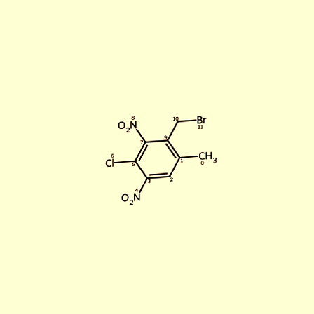 Cc1cc([N+](=O)[O-])c(Cl)c([N+](=O)[O-])c1CBr